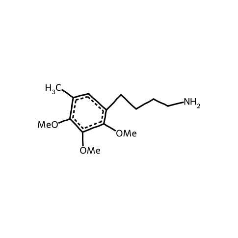 COc1c(C)cc(CCCCN)c(OC)c1OC